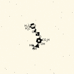 C[N+]1(C)CCO[C@H](CC(=O)N2CC(Oc3ccc([C@@H]4C[C@@H]4B(O)O)c(O)c3C(=O)O)C2)C1